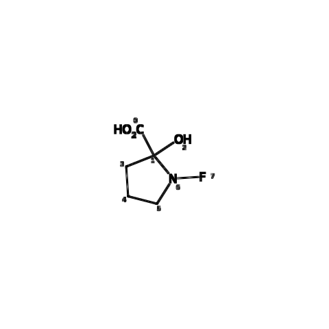 O=C(O)C1(O)CCCN1F